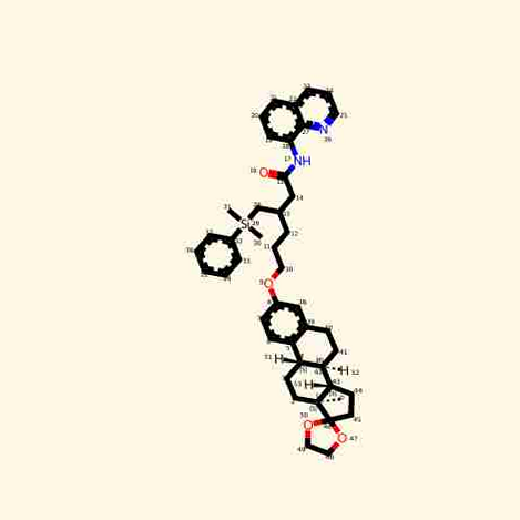 C[C@]12CC[C@@H]3c4ccc(OCCCC(CC(=O)Nc5cccc6cccnc56)C[Si](C)(C)c5ccccc5)cc4CC[C@H]3[C@@H]1CCC21OCCO1